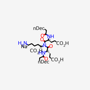 CCCCCCCCCCCC(=O)N[C@@H](CCC(=O)O)C(=O)N(C(=O)[C@H](CCC(=O)O)NC(=O)CCCCCCCCCCC)[C@@H](CCCCN)C(=O)O.[Na]